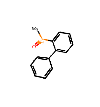 CC(C)(C)[PH](=O)c1ccccc1-c1ccccc1